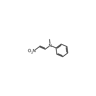 CN(C=C[N+](=O)[O-])c1ccccc1